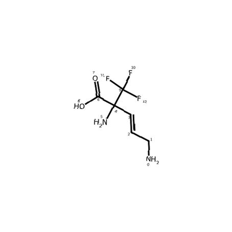 NCC=CC(N)(C(=O)O)C(F)(F)F